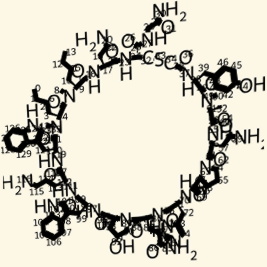 CCCC[C@H]1C(=O)N(C)[C@@H](CCCC)C(=O)N[C@@H](CCN)C(=O)N[C@H](C(=O)NCC(N)=O)CSCC(=O)N[C@@H](Cc2ccc(O)cc2)C(=O)N(C)[C@@H](C)C(=O)N[C@@H](CC(N)=O)C(=O)N2CCC[C@H]2C(=O)N[C@@H](Cc2cnc[nH]2)C(=O)N[C@@H](CCC(N)=O)C(=O)N2C[C@H](O)C[C@H]2C(=O)N[C@@H](Cc2c[nH]c3ccccc23)C(=O)N[C@@H](CCCN)C(=O)N[C@@H](Cc2c[nH]c3ccccc23)C(=O)N1C